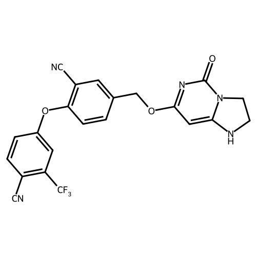 N#Cc1cc(COc2cc3n(c(=O)n2)CCN3)ccc1Oc1ccc(C#N)c(C(F)(F)F)c1